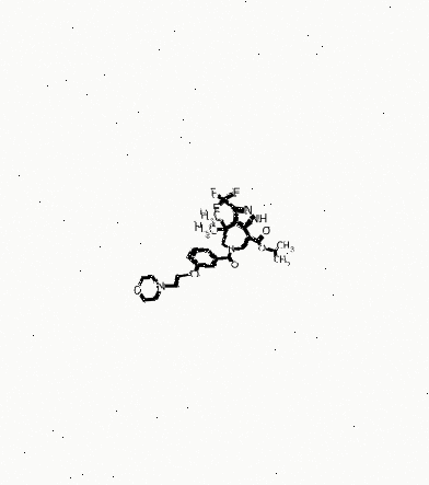 CC(C)OC(=O)C1=CN(C(=O)c2cccc(OCCN3CCOCC3)c2)CC(C)(C)c2c(C(F)(F)F)n[nH]c21